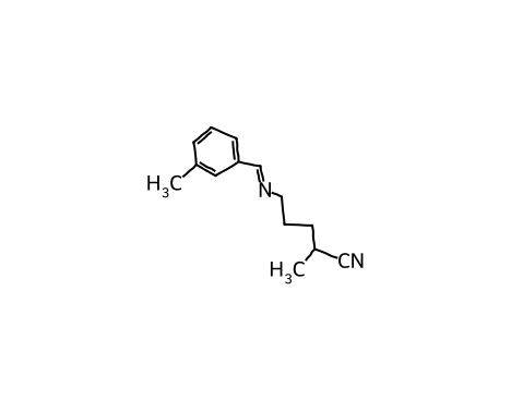 Cc1cccc(C=NCCCC(C)C#N)c1